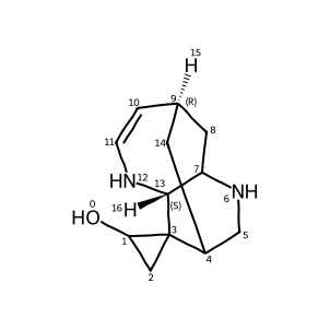 OC1CC12C1CNC3C[C@H](C=CN[C@H]32)C1